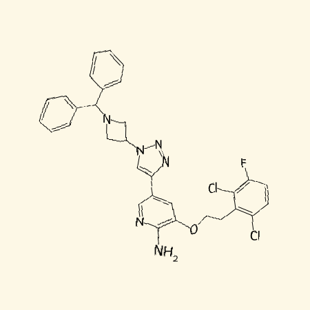 Nc1ncc(-c2cn(C3CN(C(c4ccccc4)c4ccccc4)C3)nn2)cc1OCCc1c(Cl)ccc(F)c1Cl